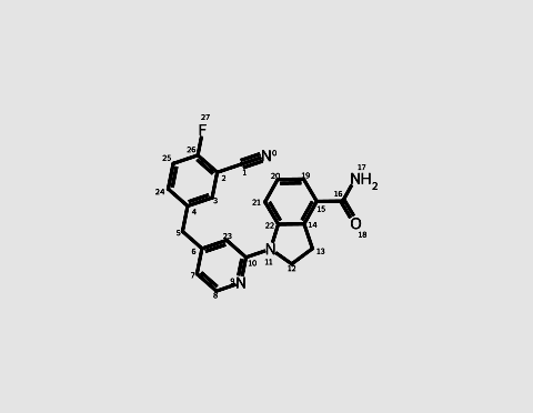 N#Cc1cc(Cc2ccnc(N3CCc4c(C(N)=O)cccc43)c2)ccc1F